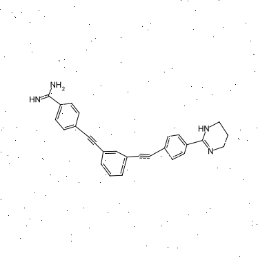 N=C(N)c1ccc(C#Cc2cccc(C#Cc3ccc(C4=NCCCN4)cc3)c2)cc1